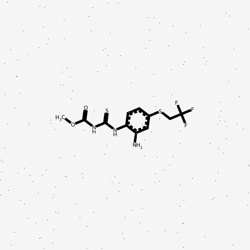 COC(=O)NC(=S)Nc1ccc(SCC(F)(F)F)cc1N